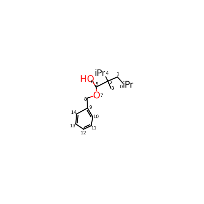 CC(C)CC(C)(C(C)C)C(O)OCc1ccccc1